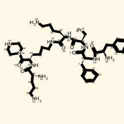 CC(C)C[C@@H](NC(=O)[C@@H](Cc1ccccc1)NC(=O)[C@H](N)Cc1ccccc1)C(=O)N[C@H](CCCCN)C(=O)NCCCC[C@H](NC(=O)[C@H](N)CCCN)C(=O)N1CCNCC1